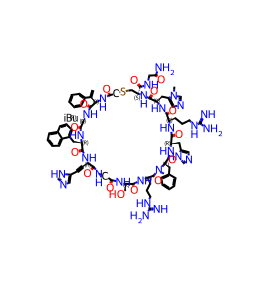 C=C(c1ccccc1)[C@H]1NC(=O)CSC[C@H](C(=O)NCC(N)=O)NC(=O)[C@@H](Cc2cncn2C)NC(=O)[C@@H](CCCNC(=N)N)NC(=O)[C@@H](Cc2cnc[nH]2)NC(=O)[C@@H](Cc2ccccc2)N(C)C(=O)[C@@H](CCCNC(=N)N)NC(=O)[C@@H](CO)NC(=O)CNC(=O)[C@@H](C#Cc2cnc[nH]2)NC(=O)[C@@H](Cc2cccc3ccccc23)NC(=O)[C@@H]([C@H](C)CC)NC1=O